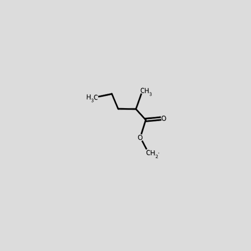 [CH2]OC(=O)C(C)CCC